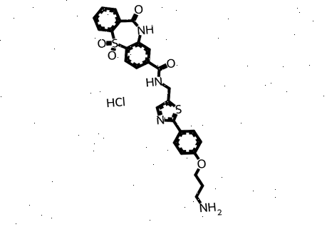 Cl.NCCCOc1ccc(-c2ncc(CNC(=O)c3ccc4c(c3)NC(=O)c3ccccc3S4(=O)=O)s2)cc1